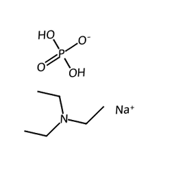 CCN(CC)CC.O=P([O-])(O)O.[Na+]